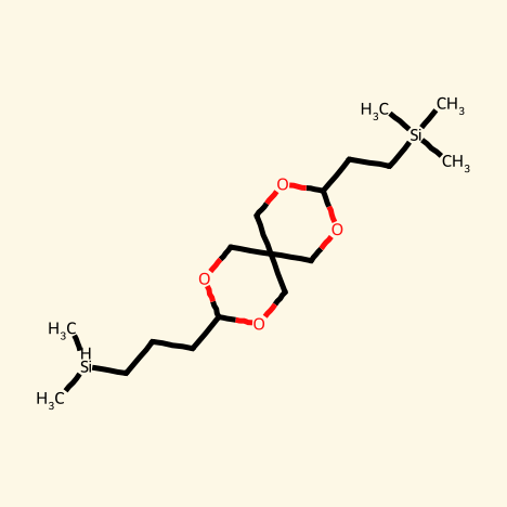 C[SiH](C)CCCC1OCC2(CO1)COC(CC[Si](C)(C)C)OC2